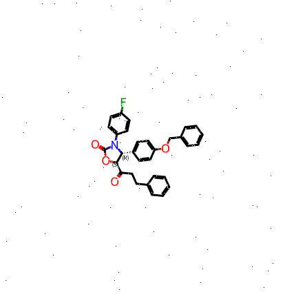 O=C(CCc1ccccc1)[C@H]1OC(=O)N(c2ccc(F)cc2)[C@@H]1c1ccc(OCc2ccccc2)cc1